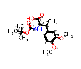 COc1ccc(C(C)[C@H](NC(=O)OC(C)(C)C)C(=O)O)cc1OC